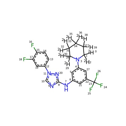 [2H]C1([2H])N(c2cc(Nc3ncn(-c4ccc(F)c(F)c4)n3)cc(C(F)(F)F)c2)C([2H])([2H])C([2H])([2H])C([2H])([2H])C1([2H])[2H]